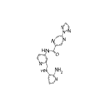 Nc1ncccc1NCc1cc(NC(=O)c2cnc(-n3nccn3)cn2)ccn1